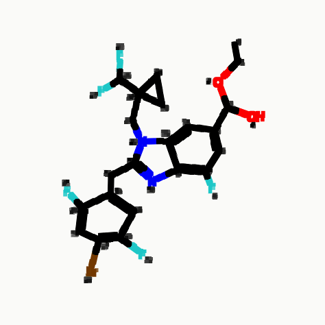 CCOC(O)c1cc(F)c2nc(Cc3cc(F)c(Br)cc3F)n(CC3(C(F)F)CC3)c2c1